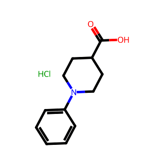 Cl.O=C(O)C1CCN(c2ccccc2)CC1